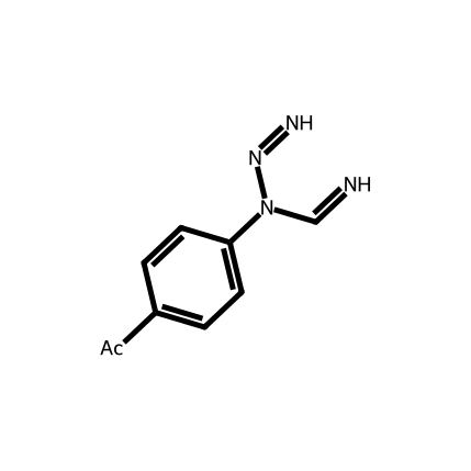 CC(=O)c1ccc(N(C=N)N=N)cc1